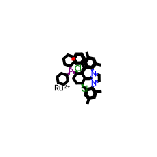 Cc1cc(C)c(N2CCN(c3c(C)cc(C)cc3C)C2=C2C(=Cc3ccccc3)C(Cl)(P(C3CCCCC3)C3CCCCC3)CCC2Cl)c(C)c1.[Ru+2]